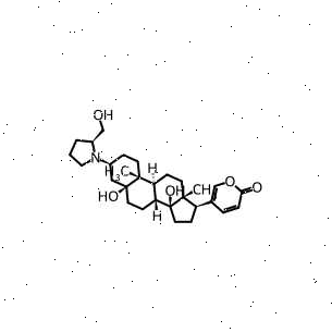 C[C@]12CC[C@H](N3CCC[C@H]3CO)C[C@@]1(O)CC[C@@H]1[C@@H]2CC[C@]2(C)[C@@H](c3ccc(=O)oc3)CC[C@]12O